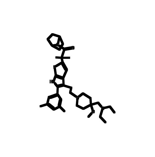 CCN(CC)CC1(OC)CCN(CCc2c(-c3cc(C)cc(C)c3)[nH]c3sc(C(C)(C)C(=O)N4C5CCC4CC5)cc23)CC1